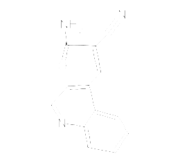 N#CC(=Cc1ccnc2ccccc12)C(N)=O